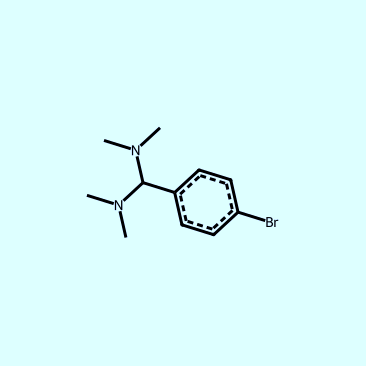 CN(C)C(c1ccc(Br)cc1)N(C)C